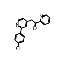 O=C(Cc1ccnc(-c2ccc(Cl)cc2)c1)c1ccccn1